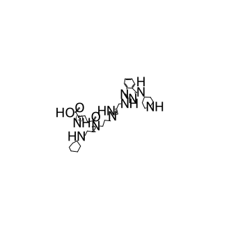 N[C@@H](CCC(=O)N(CCCNC1CCCCC1)CCCn1cc(CNc2nc(NC3CCNCC3)c3ccccc3n2)[nH]1)C(=O)O